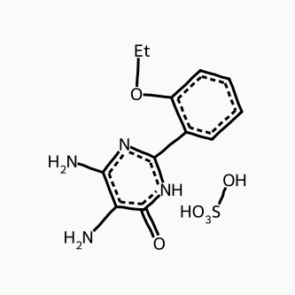 CCOc1ccccc1-c1nc(N)c(N)c(=O)[nH]1.O=S(=O)(O)O